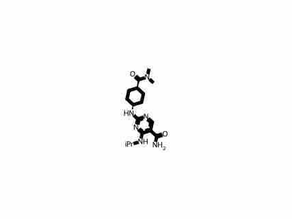 CC(C)Nc1nc(N[C@H]2CC[C@H](C(=O)N(C)C)CC2)ncc1C(N)=O